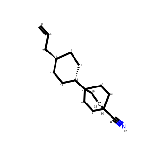 C=CC[C@H]1CC[C@H](C23CCC(C#N)(CC2)CC3)CC1